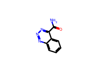 NC(=O)c1nnnc2ccccc12